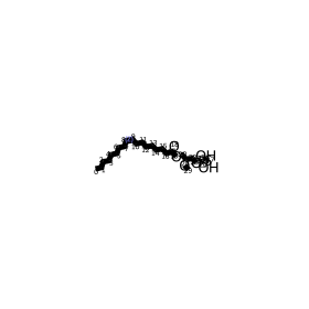 CCCCCCCC/C=C\CCCCCCCC(=O)OCC(COP(O)(O)=S)OC